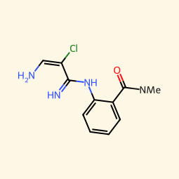 CNC(=O)c1ccccc1NC(=N)/C(Cl)=C\N